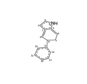 C1=c2cc[nH]c2=CCC1c1ccccc1